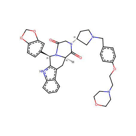 O=C1[C@H]2Cc3c([nH]c4ccccc34)[C@@H](c3ccc4c(c3)OCO4)N2C(=O)CN1[C@@H]1CCN(Cc2ccc(OCCN3CCOCC3)cc2)C1